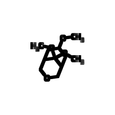 COC1CC2COCC(C1)C2(OC)OC